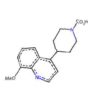 COc1cccc2c(C3CCN(C(=O)O)CC3)ccnc12